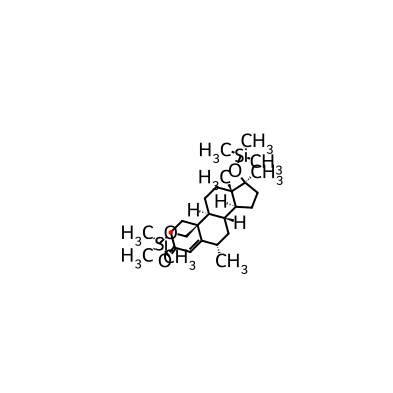 C[C@H]1C[C@@H]2[C@H](CC[C@@]3(C)[C@H]2CC[C@]3(C)O[Si](C)(C)C)[C@@]2(CO[Si](C)(C)C)CCC(=O)C=C12